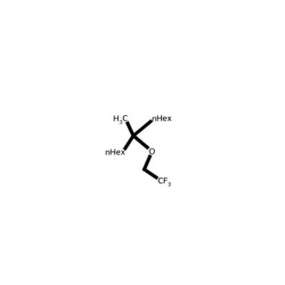 CCCCCCC(C)(CCCCCC)OCC(F)(F)F